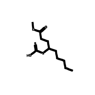 CCCCCC(CCC(=O)OC)SC(O)=S